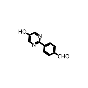 O=Cc1ccc(-c2ncc(O)cn2)cc1